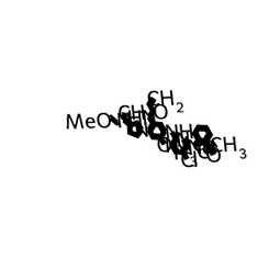 C=CC(=O)Nc1cc(Nc2ncc(Cl)c(Nc3ccccc3P(C)(C)=O)n2)c(OC)cc1N1CCC(N(C)CCOC)C1